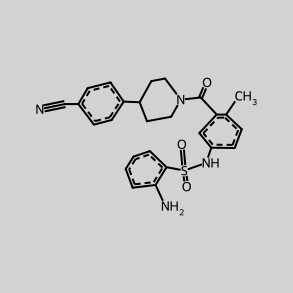 Cc1ccc(NS(=O)(=O)c2ccccc2N)cc1C(=O)N1CCC(c2ccc(C#N)cc2)CC1